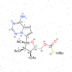 CC(=O)O[C@H]1[C@@H](OC(C)=O)[C@](C#N)(c2ccc3c(N)ncnn23)O[C@@H]1COC(=O)SC(C)(C)C